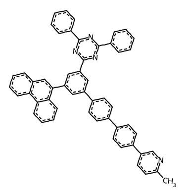 Cc1ccc(-c2ccc(-c3ccc(-c4cc(-c5nc(-c6ccccc6)nc(-c6ccccc6)n5)cc(-c5cc6ccccc6c6ccccc56)c4)cc3)cc2)cn1